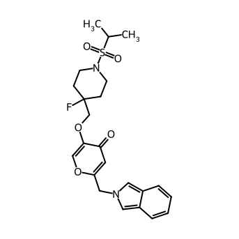 CC(C)S(=O)(=O)N1CCC(F)(COc2coc(Cn3cc4ccccc4c3)cc2=O)CC1